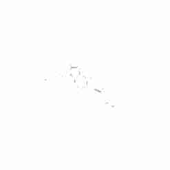 Cn1c(=O)n(N2CCCCC2)c2ccc(C#CCCN)cc21